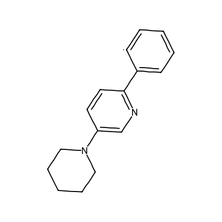 [c]1ccccc1-c1ccc(N2CCCCC2)cn1